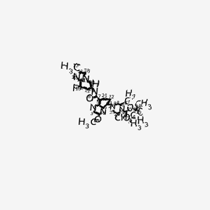 COc1cnc2c(C(=O)Nc3cc(F)c4nc(C)cn4c3)ccc(N3CC(C)N(C(=O)OC(C)(C)C)C(C)C3)c2n1